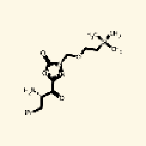 CC(C)C[C@H](N)C(=O)c1nn(COCC[Si](C)(C)C)c(=O)o1